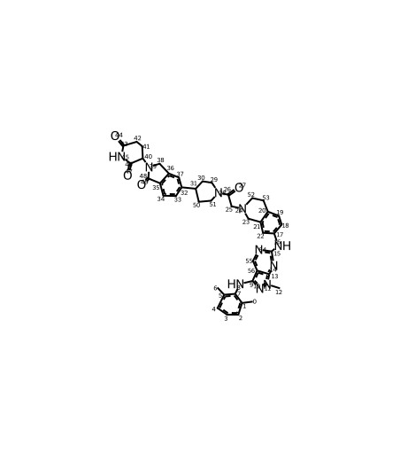 Cc1cccc(C)c1Nc1nn(C)c2nc(Nc3ccc4c(c3)CN(CC(=O)N3CCC(c5ccc6c(c5)CN(C5CCC(=O)NC5=O)C6=O)CC3)CC4)ncc12